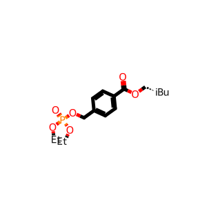 CCOP(=O)(OCC)OCc1ccc(C(=O)OC[C@@H](C)CC)cc1